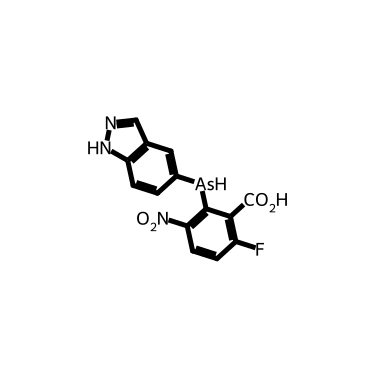 O=C(O)c1c(F)ccc([N+](=O)[O-])c1[AsH]c1ccc2[nH]ncc2c1